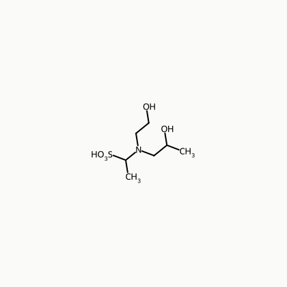 CC(O)CN(CCO)C(C)S(=O)(=O)O